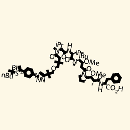 BC(C)(CCCC)SC(=C)c1ccc(-n2cc(C(C)(C)COCC(C)(C)CC(=O)N(C)C(C(=O)N[C@H](C(=O)N(C)[C@@H]([C@@H](C)CC)[C@@H](CC(=O)N3CCC[C@H]3[C@H](OC)[C@@H](C)C(=O)N[C@@H](Cc3ccccc3)C(=O)O)OC)C(C)C)C(C)C)nn2)cc1